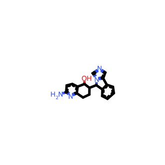 Nc1ccc2c(n1)CCC(C1c3ccccc3-c3cncn31)C2O